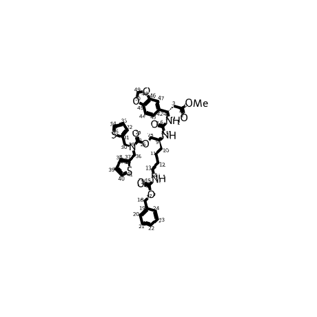 COC(=O)C[C@H](NC(=O)N[C@@H](CCCCNC(=O)OCc1ccccc1)COC(=O)N(Cc1cccs1)Cc1cccs1)c1ccc2c(c1)OCO2